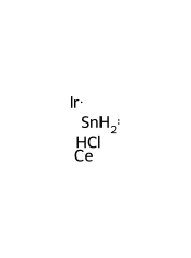 Cl.[Ce].[Ir].[SnH2]